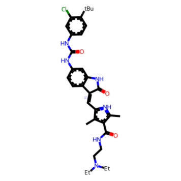 CCN(CC)CCNC(=O)c1c(C)[nH]c(/C=C2\C(=O)Nc3cc(NC(=O)Nc4ccc(C(C)(C)C)c(Cl)c4)ccc32)c1C